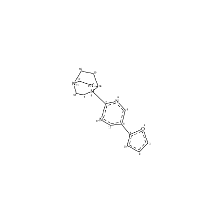 c1coc(-c2cnc(N3CCN4CCC3CC4)nc2)c1